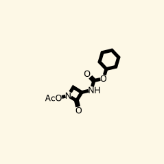 CC(=O)ON1CC(NC(=O)OC2CCCCC2)C1=O